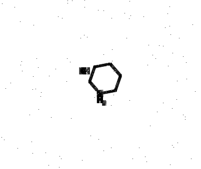 C1CC[SiH2]CC1.[KH]